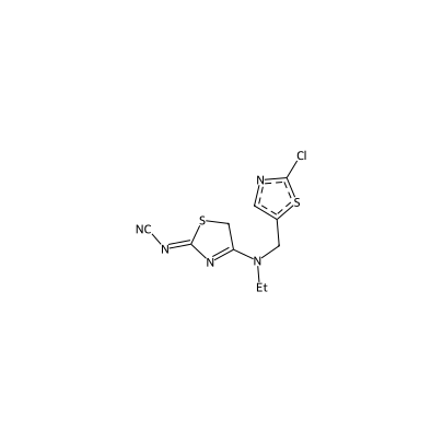 CCN(Cc1cnc(Cl)s1)C1=NC(=NC#N)SC1